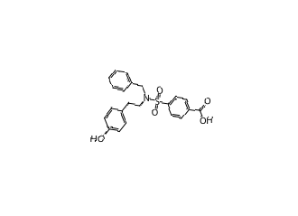 O=C(O)c1ccc(S(=O)(=O)N(CCc2ccc(O)cc2)Cc2ccccc2)cc1